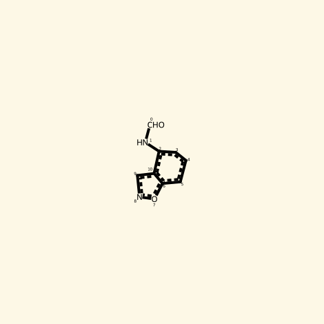 O=CNc1cccc2oncc12